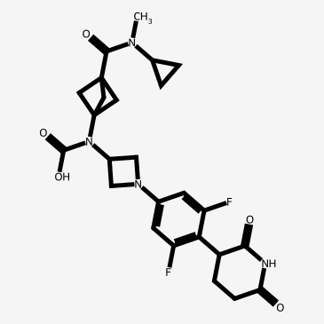 CN(C(=O)C12CC(N(C(=O)O)C3CN(c4cc(F)c(C5CCC(=O)NC5=O)c(F)c4)C3)(C1)C2)C1CC1